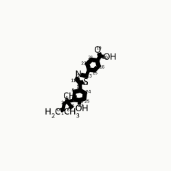 C=CCC(C)(CC)c1cc(-c2cnc(-c3ccc(C(=O)O)cc3)s2)ccc1O